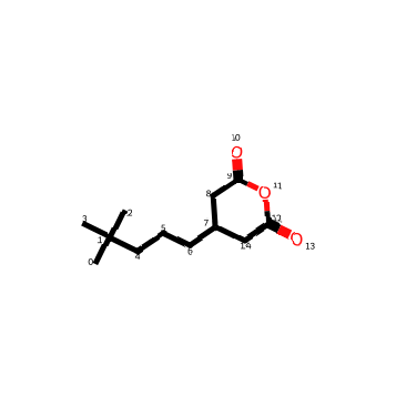 CC(C)(C)CCCC1CC(=O)OC(=O)C1